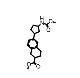 COC(=O)NC1CCC(c2ccc3c(c2)CCC(C(=O)OC)C3)C1